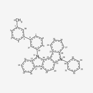 Cc1cccc(-c2cccc(-n3c4ccccc4c4ccc5c(c6ccccc6n5-c5ccccc5)c43)c2)c1